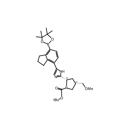 COC[C@H]1C[C@@H](c2ncc(-c3ccc(B4OC(C)(C)C(C)(C)O4)c4c3CCC4)[nH]2)N(C(=O)OC(C)(C)C)C1